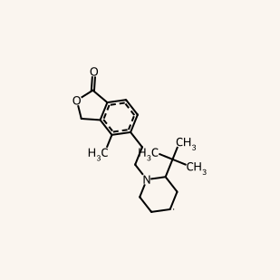 Cc1c(CCN2CC[CH]CC2C(C)(C)C)ccc2c1COC2=O